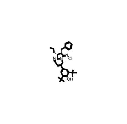 CCC[C@H]1CN(C/C(=C\C#N)c2cc(C(C)(C)C)c(O)c(C(C)(C)C)c2)/C(=N\Cl)[C@@H]1Cc1ccccc1